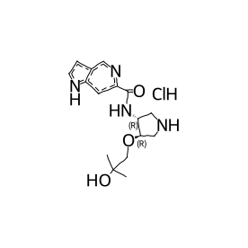 CC(C)(O)CO[C@@H]1CNC[C@H]1NC(=O)c1cc2[nH]ccc2cn1.Cl